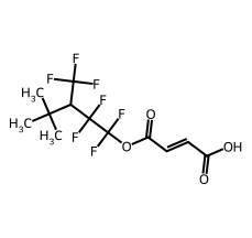 CC(C)(C)C(C(F)(F)F)C(F)(F)C(F)(F)OC(=O)C=CC(=O)O